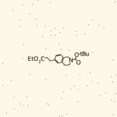 CCOC(=O)CCc1ccc2c(c1)CCN(C(=O)OC(C)(C)C)C2